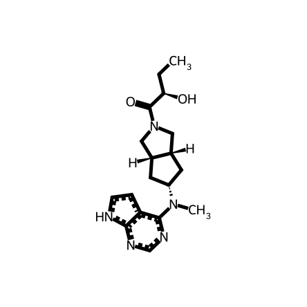 CC[C@@H](O)C(=O)N1C[C@H]2C[C@@H](N(C)c3ncnc4[nH]ccc34)C[C@H]2C1